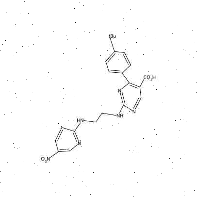 CC(C)(C)c1ccc(-c2nc(NCCNc3ccc([N+](=O)[O-])cn3)ncc2C(=O)O)cc1